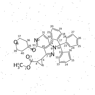 COC(=O)C1CC1c1nn(C(c2ccccc2)(c2ccccc2)c2ccccc2)c2ccnc(OC3CCOCC3)c12